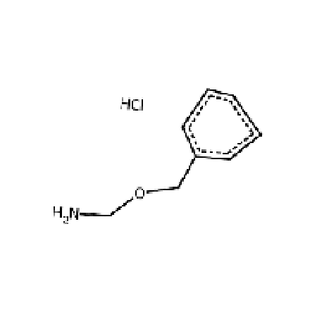 Cl.NCOCc1ccccc1